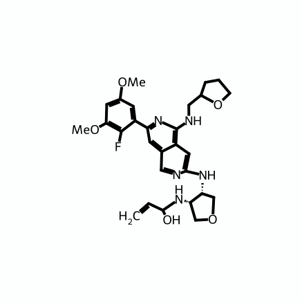 C=CC(O)N[C@H]1COC[C@H]1Nc1cc2c(NCC3CCCO3)nc(-c3cc(OC)cc(OC)c3F)cc2cn1